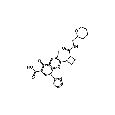 O=C(O)c1cn(-c2nccs2)c2nc(N3CCC3C(=O)NCC3CCCCO3)c(F)cc2c1=O